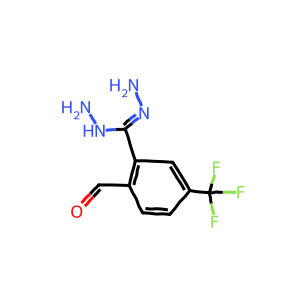 N/N=C(\NN)c1cc(C(F)(F)F)ccc1C=O